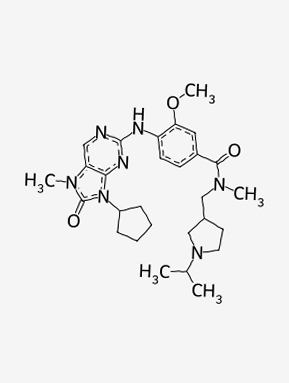 COc1cc(C(=O)N(C)CC2CCN(C(C)C)C2)ccc1Nc1ncc2c(n1)n(C1CCCC1)c(=O)n2C